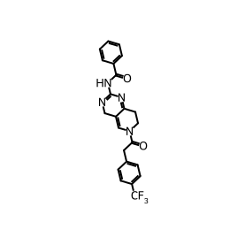 O=C(NC1=NCC2=CN(C(=O)Cc3ccc(C(F)(F)F)cc3)CCC2=N1)c1ccccc1